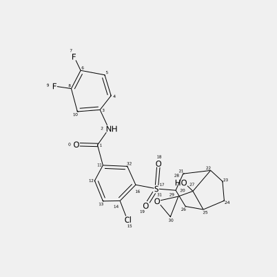 O=C(Nc1ccc(F)c(F)c1)c1ccc(Cl)c(S(=O)(=O)C2CC3CCC(C2)C3(O)C2CO2)c1